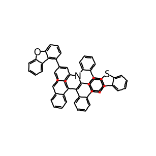 c1cc(-c2cccc3oc4ccccc4c23)cc(N(c2ccccc2-c2cccc3c2sc2ccccc23)c2c(-c3cccc4ccccc34)c3ccccc3c3ccccc23)c1